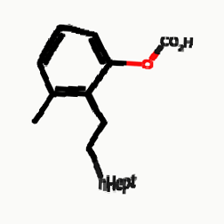 CCCCCCCCCc1c(C)cccc1OC(=O)O